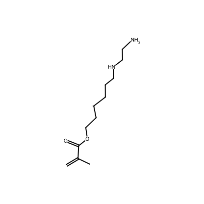 C=C(C)C(=O)OCC[CH]CCCNCCN